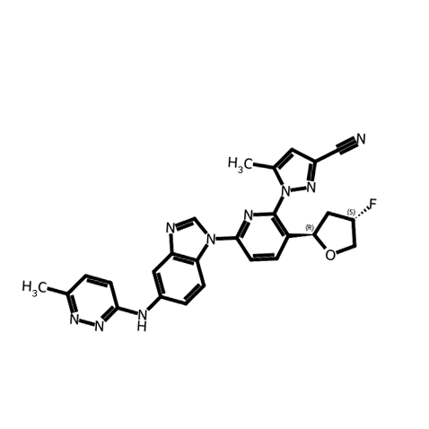 Cc1ccc(Nc2ccc3c(c2)ncn3-c2ccc([C@H]3C[C@H](F)CO3)c(-n3nc(C#N)cc3C)n2)nn1